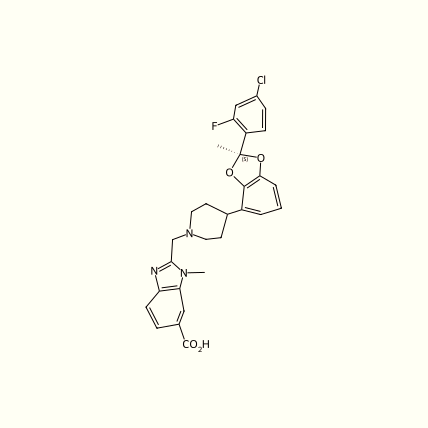 Cn1c(CN2CCC(c3cccc4c3O[C@@](C)(c3ccc(Cl)cc3F)O4)CC2)nc2ccc(C(=O)O)cc21